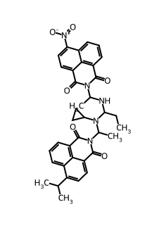 CCC(NC(C)N1C(=O)c2cccc3c([N+](=O)[O-])ccc(c23)C1=O)N(C1CC1)C(C)N1C(=O)c2cccc3c(C(C)C)ccc(c23)C1=O